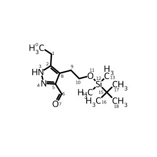 CCc1[nH]nc(C=O)c1CCO[Si](C)(C)C(C)(C)C